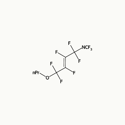 CCCOC(F)(F)/C(F)=C(\F)C(F)(F)NC(F)(F)F